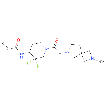 C=CC(=O)NC1CCN(C(=O)CN2CCC3(C2)CN(C(C)C)C3)CC1(F)F